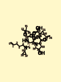 C=CCCCN(C[C@H](NC(=O)OC(C)(C)C)C(=O)N1C[C@H](O)CC1C(=O)NC1(C(=O)O)CC1C=C)C1CC1